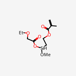 C=C(C)C(=O)OCC[SiH](OC)OC(=O)COCC